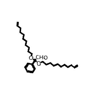 C=CCCCCCCCCCOC(C=O)(OCCCCCCCCCC=C)c1ccccc1